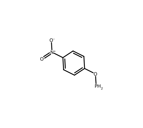 O=[N+]([O-])c1ccc(OP)cc1